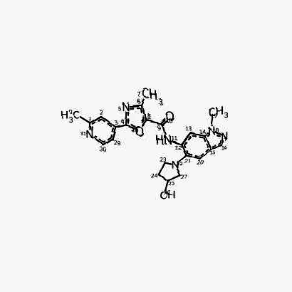 Cc1cc(-c2nc(C)c(C(=O)Nc3cc4c(cnn4C)cc3N3CCC(O)C3)o2)ccn1